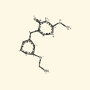 CCOc1cccc(Cc2cnc(SC)[nH]c2=O)c1